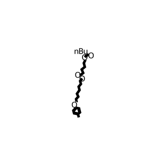 CCCCC(=O)OCCCCCC(=O)OCCCCCCCCOc1ccc(C)cc1